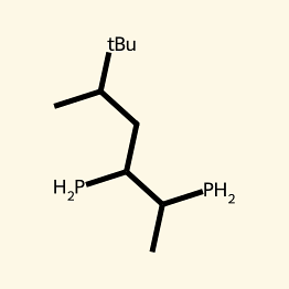 CC(P)C(P)CC(C)C(C)(C)C